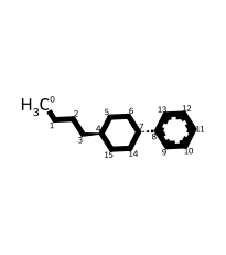 CCCC[C@H]1CC[C@H](c2ccccc2)CC1